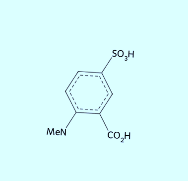 CNc1ccc(S(=O)(=O)O)cc1C(=O)O